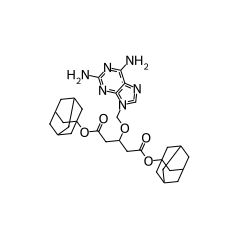 Nc1nc(N)c2ncn(COC(CC(=O)OC34CC5CC(CC(C5)C3)C4)CC(=O)OC34CC5CC(CC(C5)C3)C4)c2n1